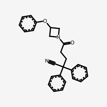 N#CC(CCC(=O)N1CC(Oc2ccccc2)C1)(c1ccccc1)c1ccccc1